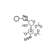 CO[C@H]1C[SH]([C@@H]2COC[C@H](n3cc(-c4ccccc4)nn3)[C@H]2O)[C@H](COC(C)=O)[C@H](OC(C)=O)[C@H]1N=[N+]=[N-]